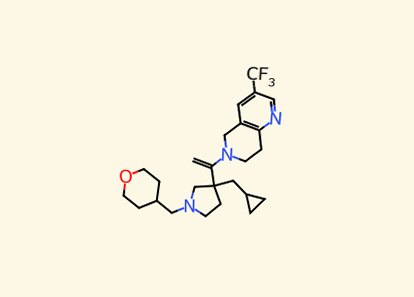 C=C(N1CCc2ncc(C(F)(F)F)cc2C1)C1(CC2CC2)CCN(CC2CCOCC2)C1